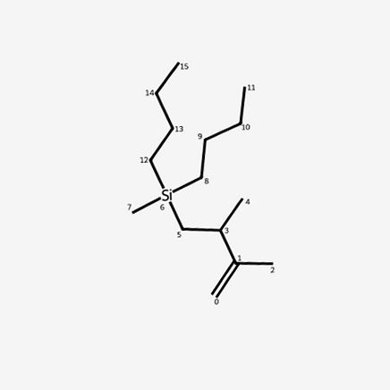 C=C(C)C(C)C[Si](C)(CCCC)CCCC